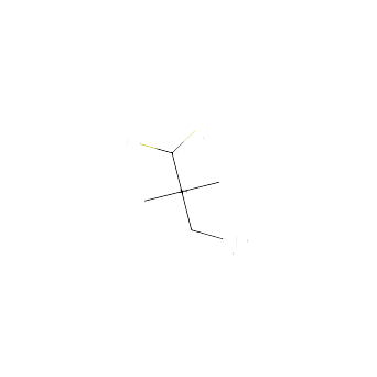 CC(C)(CC=O)C(S)S